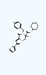 CC1(C(=O)NC2CCCCC2)Cn2nc(-c3cccs3)cc2C(=O)N1Cc1ccc(F)cc1